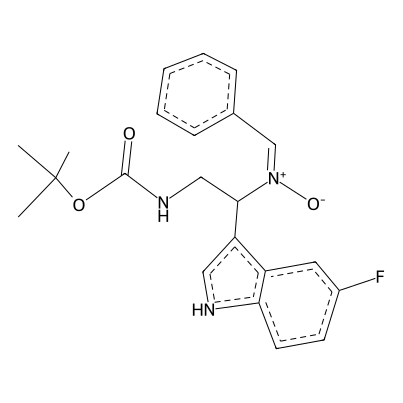 CC(C)(C)OC(=O)NCC(c1c[nH]c2ccc(F)cc12)/[N+]([O-])=C\c1ccccc1